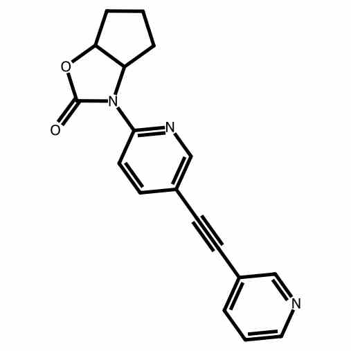 O=C1OC2CCCC2N1c1ccc(C#Cc2cccnc2)cn1